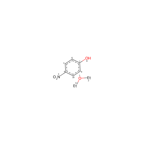 CCOCC.O=[N+]([O-])c1ccc(O)cc1